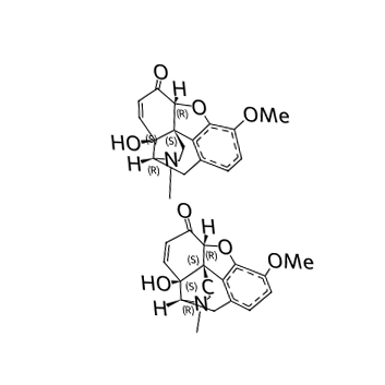 COc1ccc2c3c1O[C@H]1C(=O)C=C[C@@]4(O)[C@@H](C2)N(C)CC[C@]314.COc1ccc2c3c1O[C@H]1C(=O)C=C[C@@]4(O)[C@@H](C2)N(C)CC[C@]314